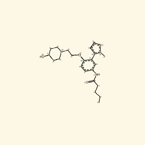 CCCCC(=O)Nc1ccc(OCCN2CCC(O)CC2)c(-c2ccnn2C)c1